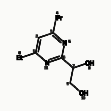 CCc1cc(C(C)C)nc(C(O)CO)n1